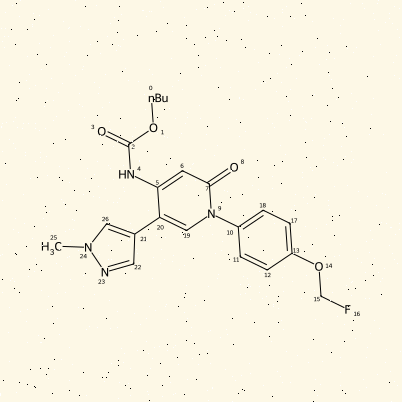 CCCCOC(=O)Nc1cc(=O)n(-c2ccc(OCF)cc2)cc1-c1cnn(C)c1